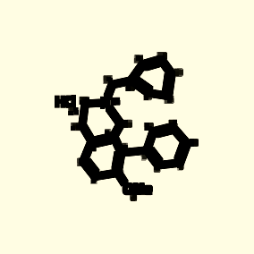 COc1ccc2c(c1-c1ccccc1)CN(Cc1ccccc1)CC2.Cl